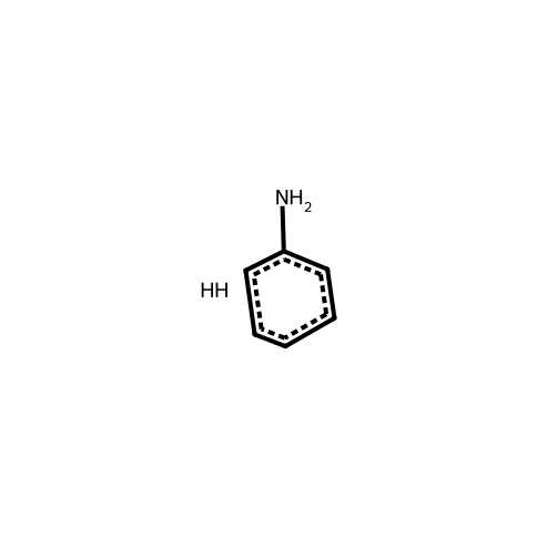 Nc1ccccc1.[HH]